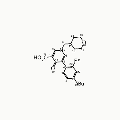 CCC(C)c1ccc(-c2cn(CC3CCOCC3)cc(C(=O)O)c2=O)c(F)c1